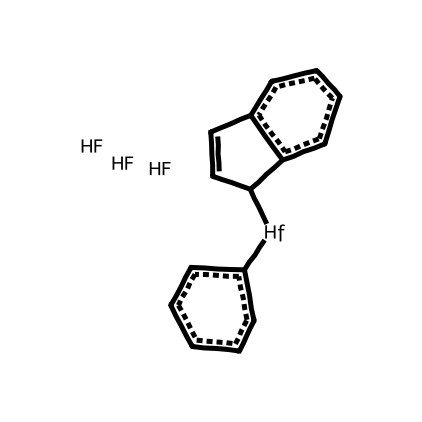 C1=C[CH]([Hf][c]2ccccc2)c2ccccc21.F.F.F